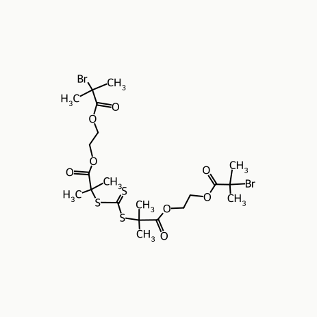 CC(C)(Br)C(=O)OCCOC(=O)C(C)(C)SC(=S)SC(C)(C)C(=O)OCCOC(=O)C(C)(C)Br